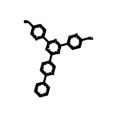 CC(C)(C)c1ccc(-c2nc(-c3ccc(-c4ccccc4)nc3)nc(-c3ccc(C(C)(C)C)nc3)n2)nc1